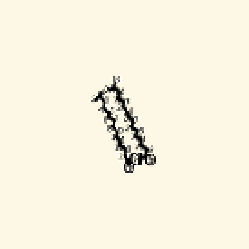 CC(C)CCCCCCCCCCCCC(=O)Cl.CC(C)CCCCCCCCCCCCCC(=O)Cl